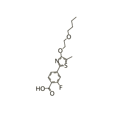 CCCCOCCOc1nc(-c2ccc(C(=O)O)c(F)c2)sc1C